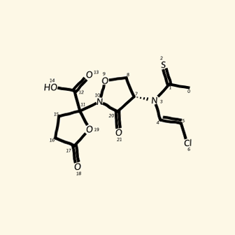 CC(=S)N(C=CCl)[C@H]1CON(C2(C(=O)O)CCC(=O)O2)C1=O